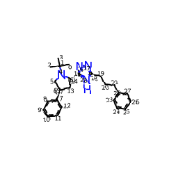 CC(C)(C)N1C[C@H](c2ccccc2)C[C@H]1c1nnc(CCCc2ccccc2)[nH]1